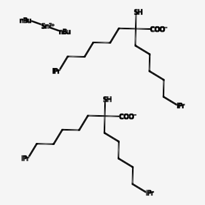 CC(C)CCCCCC(S)(CCCCCC(C)C)C(=O)[O-].CC(C)CCCCCC(S)(CCCCCC(C)C)C(=O)[O-].CCC[CH2][Sn+2][CH2]CCC